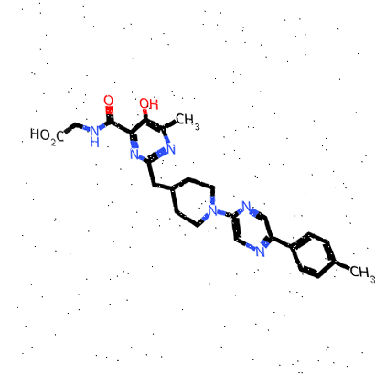 Cc1ccc(-c2cnc(N3CCC(Cc4nc(C)c(O)c(C(=O)NCC(=O)O)n4)CC3)cn2)cc1